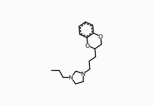 CCCN1CCN(CCCC2COc3ccccc3O2)C1